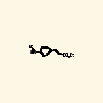 CCNc1ccc(C=CC(=O)OCC)cc1